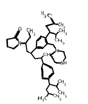 CCC(CC(CC(C)c1ccc(C(CC(C)C)C(C)C)cc1)c1ccc(C(CC(C)C)C(C)C)c(CN2CCNCC2)c1)N1CCCC1=O